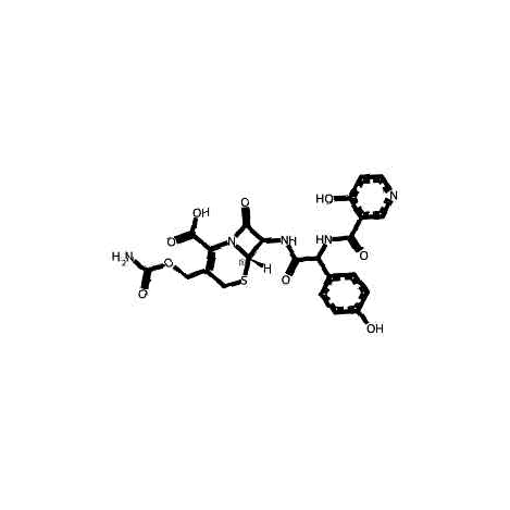 NC(=O)OCC1=C(C(=O)O)N2C(=O)C(NC(=O)C(NC(=O)c3cnccc3O)c3ccc(O)cc3)[C@@H]2SC1